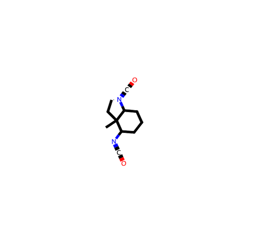 [CH2]CC1(C)C(N=C=O)CCCC1N=C=O